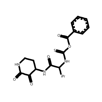 CC(C)C(NC(=S)OC(=O)c1ccccc1)C(=O)NC1CCNC(=O)C1=O